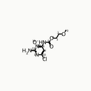 COCCOC(=O)Nc1cc(Cl)nc(N)[n+]1[O-]